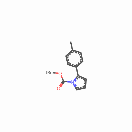 Cc1ccc(-c2cccn2C(=O)OC(C)(C)C)cc1